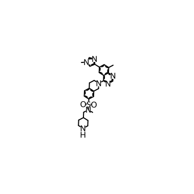 Cc1cc(-c2cn(C)cn2)cc2c(N3CCc4ccc(S(=O)(=O)N(C)CC5CCNCC5)cc4C3)ncnc12